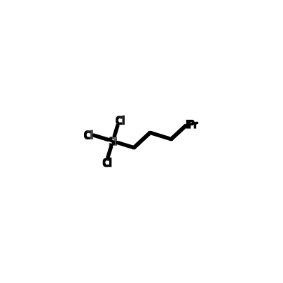 CC(C)CCC[Si](Cl)(Cl)Cl